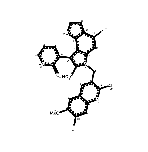 COc1cc2cc(Cn3c(C(=O)O)c(-c4ccc[nH]c4=O)c4c5occc5c(F)cc43)c(Cl)nc2cc1F